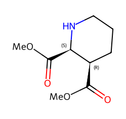 COC(=O)[C@H]1NCCC[C@H]1C(=O)OC